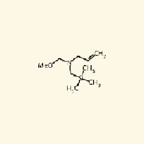 C=CCN(COC)C[Si](C)(C)C